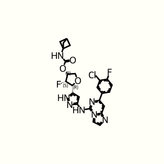 O=C(NC12CC(C1)C2)O[C@@H]1CO[C@H](c2cc(Nc3nc(-c4ccc(F)c(Cl)c4)cc4nccn34)n[nH]2)[C@@H]1F